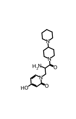 NC(Cn1ccc(O)cc1=O)C(=O)N1CCC(N2CCCCC2)CC1